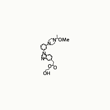 COC(C)N1CCN(c2cccc(-n3cnc4cc(CC(=O)OCCO)ccc43)c2)CC1